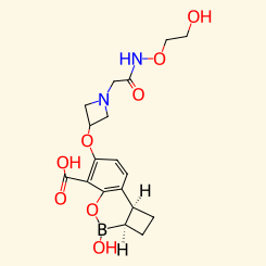 O=C(CN1CC(Oc2ccc3c(c2C(=O)O)OB(O)[C@@H]2CC[C@H]32)C1)NOCCO